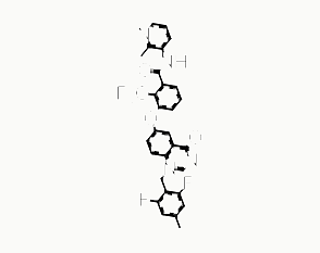 Cc1cc(F)c(Cn2cnc(=O)c3cc(Oc4cccc(C(=O)Nc5cccnc5C)c4C(F)(F)F)ccc32)c(F)c1